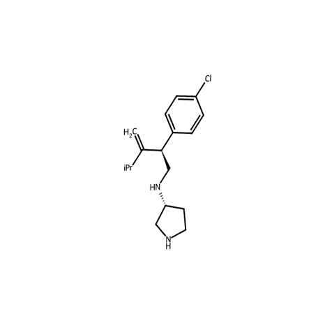 C=C(C(C)C)[C@H](CN[C@@H]1CCNC1)c1ccc(Cl)cc1